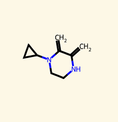 C=C1NCCN(C2CC2)C1=C